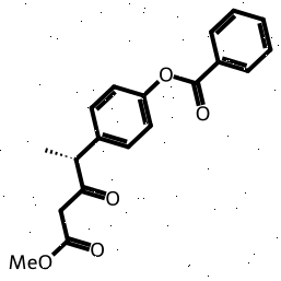 COC(=O)CC(=O)[C@H](C)c1ccc(OC(=O)c2ccccc2)cc1